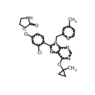 Cc1ccnc(Cn2c(-c3ccc(O[C@@H]4CCNC4=O)cc3Cl)nc3c(OC4(C)CC4)ncnc32)c1